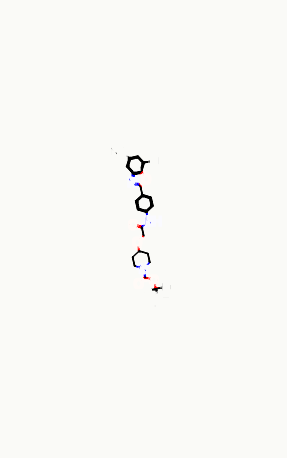 CCC(C)(C)OC(=O)N1CCC(OCC(=O)Nc2ccc(-c3nc4cc(C#N)cc(C)c4o3)cc2)CC1